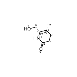 C[C@@H]1CCC(=O)N[C@@H]1CO